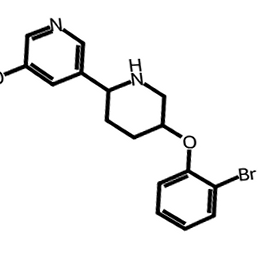 [O]c1cncc(C2CCC(Oc3ccccc3Br)CN2)c1